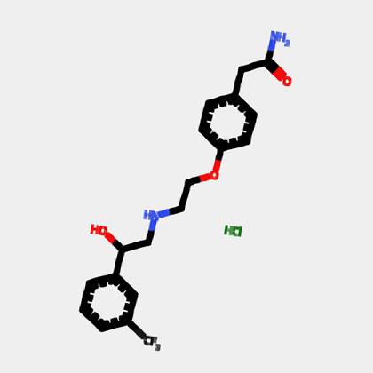 Cl.NC(=O)Cc1ccc(OCCNCC(O)c2cccc(C(F)(F)F)c2)cc1